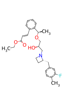 CCOC(=O)/C=C/c1ccccc1[C@@H](C)OC[C@H](O)CN1CC[C@H]1Cc1ccc(C)c(F)c1